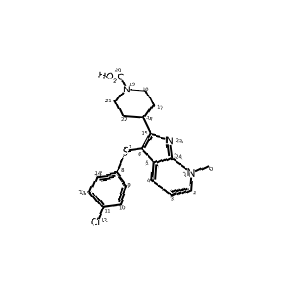 Cn1cccc2c(Sc3ccc(Cl)cc3)c(C3CCN(C(=O)O)CC3)nc1-2